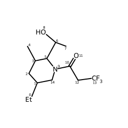 CCC1CC(C)C(C(C)O)N(C(=O)CC(F)(F)F)C1